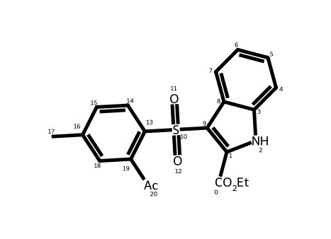 CCOC(=O)c1[nH]c2ccccc2c1S(=O)(=O)c1ccc(C)cc1C(C)=O